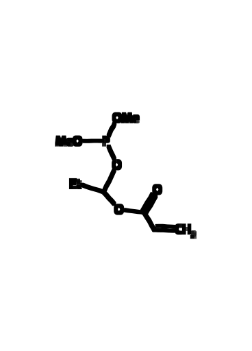 C=CC(=O)OC(CC)OP(OC)OC